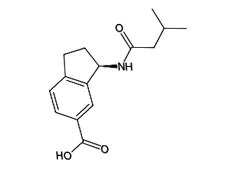 CC(C)CC(=O)N[C@@H]1CCc2ccc(C(=O)O)cc21